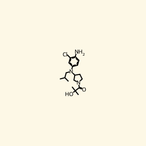 CC(C)CN(c1ccc(N)c(Cl)c1)C1CCN(C(=O)C(C)(C)O)C1